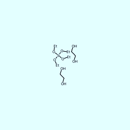 CCO[Si](OCC)(OCC)OCC.OCCO.OCCO